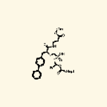 CCCCCCCCCCOC(=O)CCNC(=O)C(Cc1ccc(-c2ccccc2)cc1)NCP(=O)(O)OC(OC(=O)CCCCCCC)C(C)C